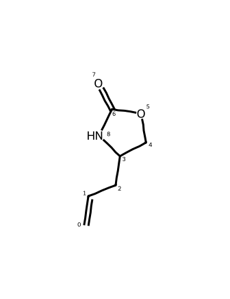 C=CCC1COC(=O)N1